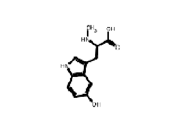 CNC(Cc1c[nH]c2ccc(O)cc12)C(=O)O